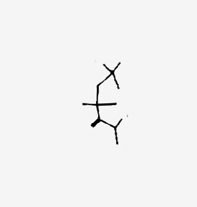 CCCCC(CCC)C(=O)C(C)(C)CC(C)(C)C(C)=O